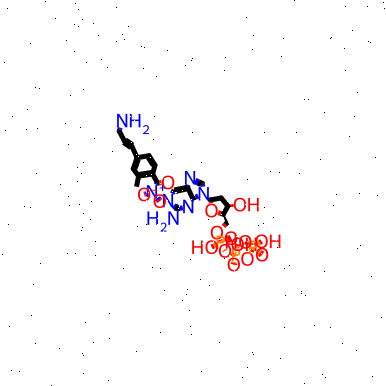 Cc1cc(C#CCN)ccc1C(Oc1nc(N)nc2c1ncn2[C@H]1C[C@@H](O)[C@@H](COP(=O)(O)OP(=O)(O)OP(=O)(O)O)O1)[N+](=O)[O-]